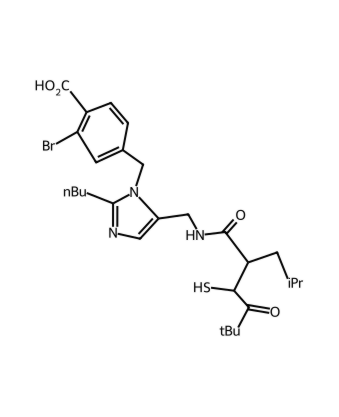 CCCCc1ncc(CNC(=O)C(CC(C)C)C(S)C(=O)C(C)(C)C)n1Cc1ccc(C(=O)O)c(Br)c1